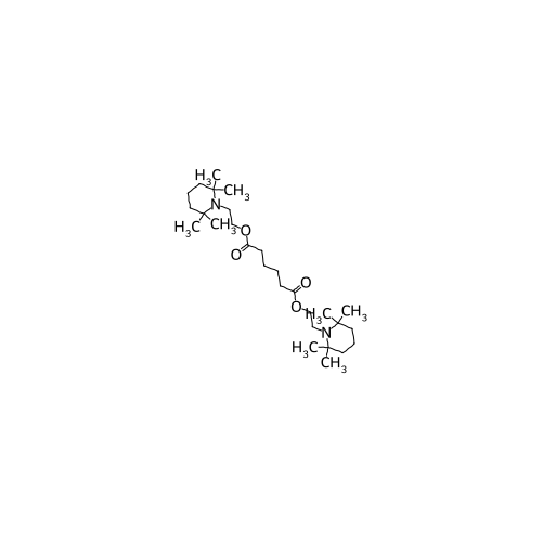 CC1(C)CCCC(C)(C)N1CCOC(=O)CCCCC(=O)OCCN1C(C)(C)CCCC1(C)C